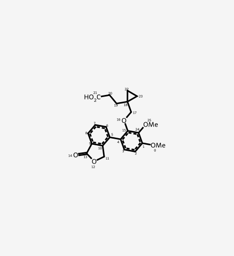 COc1ccc(-c2cccc3c2COC3=O)c(OCC2(CCC(=O)O)CC2)c1OC